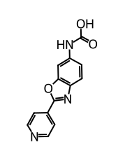 O=C(O)Nc1ccc2nc(-c3ccncc3)oc2c1